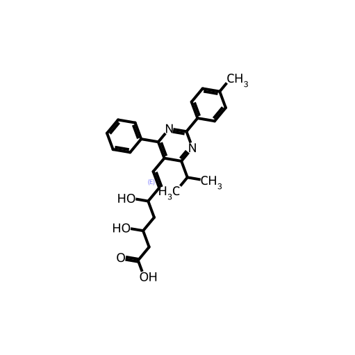 Cc1ccc(-c2nc(-c3ccccc3)c(/C=C/C(O)CC(O)CC(=O)O)c(C(C)C)n2)cc1